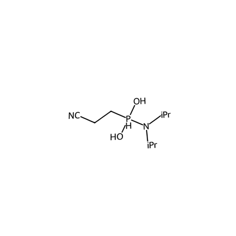 CC(C)N(C(C)C)[PH](O)(O)CCC#N